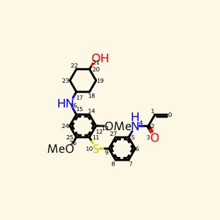 C=CC(=O)Nc1cccc(Sc2c(OC)cc(NC3CCC(O)CC3)cc2OC)c1